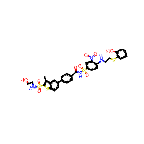 Cc1c(S(=O)(=O)NCCO)sc2ccc(-c3ccc(C(=O)NS(=O)(=O)c4ccc(NCCSc5ccccc5O)c([N+](=O)[O-])c4)cc3)cc12